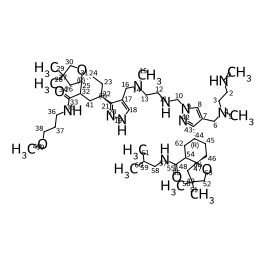 CNCCN(C)Cc1cn(CNCCN(C)Cc2c[nH]nc2[C@@H]2CC[C@@]3(CC(C)(C)CO3)C(C(=O)NCCCOC)C2)nc1[C@@H]1CC[C@@]2(CC(C)(C)CO2)C(C(=O)NCC(C)C)C1